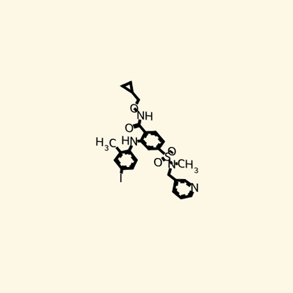 Cc1cc(I)ccc1Nc1cc(S(=O)(=O)N(C)Cc2cccnc2)ccc1C(=O)NOCC1CC1